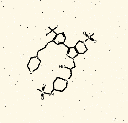 CS(=O)(=O)NC1CCN(CC(O)Cn2nc(-c3ccc(C(F)(F)F)c(SCCN4CCOCC4)c3)c3c2CCN(S(C)(=O)=O)C3)CC1